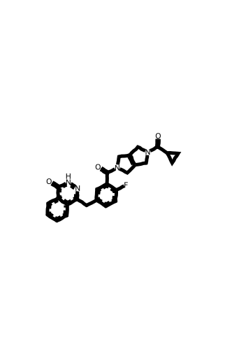 O=C(c1cc(Cc2n[nH]c(=O)c3ccccc23)ccc1F)N1CC2=C(C1)CN(C(=O)C1CC1)C2